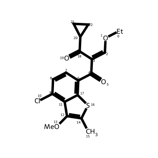 CCOC=C(C(=O)c1ccc(Cl)c2c(OC)c(C)sc12)C(=O)C1CC1